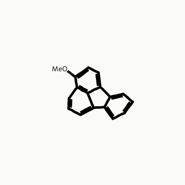 COc1ccc2c3c(cccc13)-c1ccccc1-2